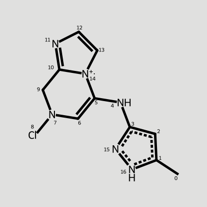 Cc1cc(NC2=CN(Cl)CC3=NC=C[N+]23)n[nH]1